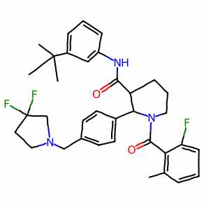 Cc1cccc(F)c1C(=O)N1CCCC(C(=O)Nc2cccc(C(C)(C)C)c2)C1c1ccc(CN2CCC(F)(F)C2)cc1